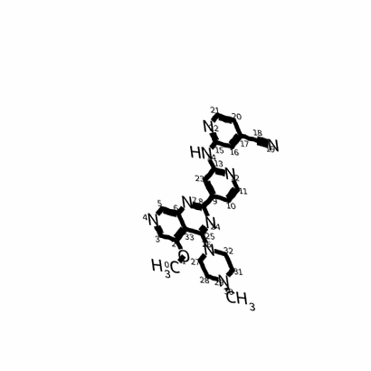 COc1cncc2nc(-c3ccnc(Nc4cc(C#N)ccn4)c3)nc(N3CCN(C)CC3)c12